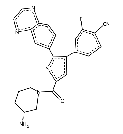 N#Cc1ccc(-c2cc(C(=O)N3CCC[C@@H](N)C3)sc2-c2ccc3nccnc3c2)cc1F